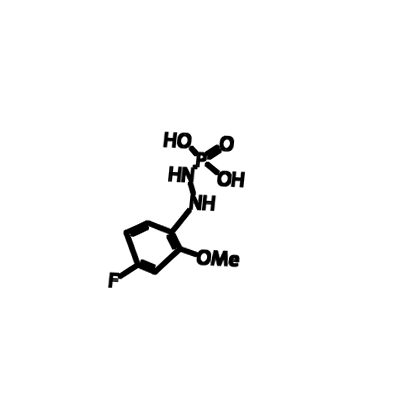 COc1cc(F)ccc1NNP(=O)(O)O